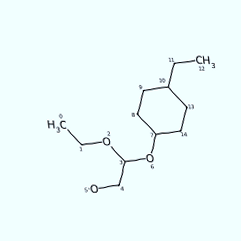 CCOC(C[O])OC1CCC(CC)CC1